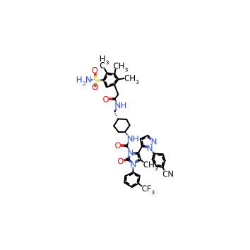 Cc1c(CC(=O)NC[C@H]2CC[C@H](NC(=O)n3c(-c4ccnn4-c4ccc(C#N)cc4)c(C)n(-c4cccc(C(F)(F)F)c4)c3=O)CC2)cc(S(N)(=O)=O)c(C)c1C